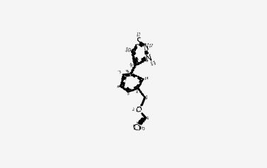 O=[C]OCc1cccc(-c2csnn2)c1